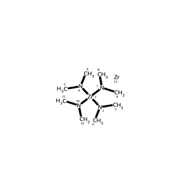 C[N](C)[Zr]([N](C)C)([N](C)C)[N](C)C.[Zr]